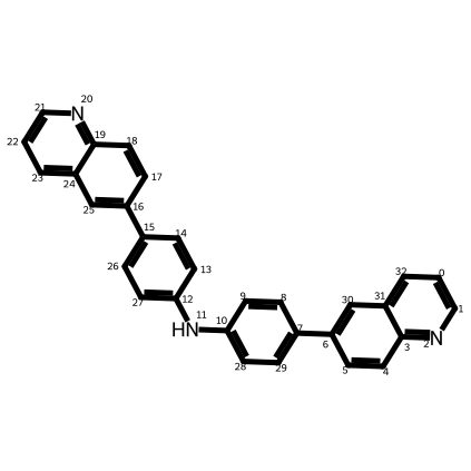 c1cnc2ccc(-c3ccc(Nc4ccc(-c5ccc6ncccc6c5)cc4)cc3)cc2c1